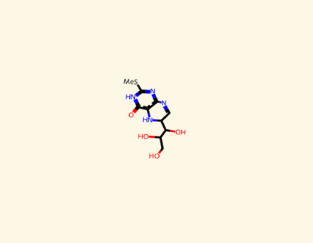 CSc1nc2c(c(=O)[nH]1)NC(C(O)C(O)CO)C=N2